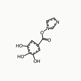 O=C(On1ccnc1)c1cc(O)c(O)c(O)c1